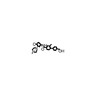 COc1ccc(NC(=O)c2ccc(-c3ccc(CO)cc3)c(C)c2)cc1N1CCN(C)CC1